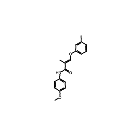 COc1ccc(NC(=O)/C(C)=C/Oc2cccc(C)c2)cc1